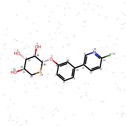 O[C@@H]1[C@@H](O)[C@H](Oc2cccc(-c3ccc(F)nc3)c2)SC[C@H]1O